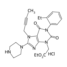 CC#CCn1c(N2CCNCC2)nc2c1c(=O)n(-c1ccccc1CC)c(=O)n2CC(=O)OCC.Cl